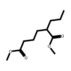 CCCC(CCCC(=O)OC)C(=O)OC